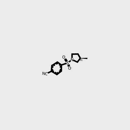 C[C@@H]1CCN(S(=O)(=O)c2ccc(C#N)cc2)C1